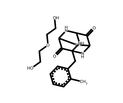 Cc1ccccc1CC12NC3NC(NC(N1)C3=O)C2=O.OCCOCCO